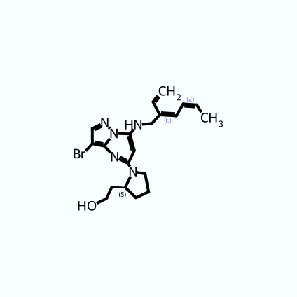 C=C/C(=C\C=C/C)CNc1cc(N2CCC[C@H]2CCO)nc2c(Br)cnn12